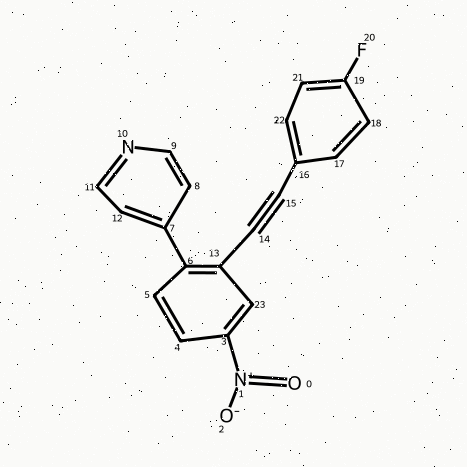 O=[N+]([O-])c1ccc(-c2ccncc2)c(C#Cc2ccc(F)cc2)c1